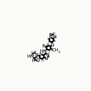 Cc1cc(Nc2ncnc3cc4c(nc23)N2CCN[C@H](CO4)C2)c(F)cc1Oc1ccn2ncnc2c1